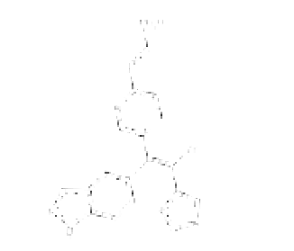 CCC(=C(c1ccc(C=CC(=O)O)cc1)c1ccc2[nH]ncc2c1)c1cnsc1